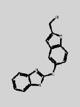 ClCc1cc2cc(Oc3nc4ccccc4s3)ccc2o1